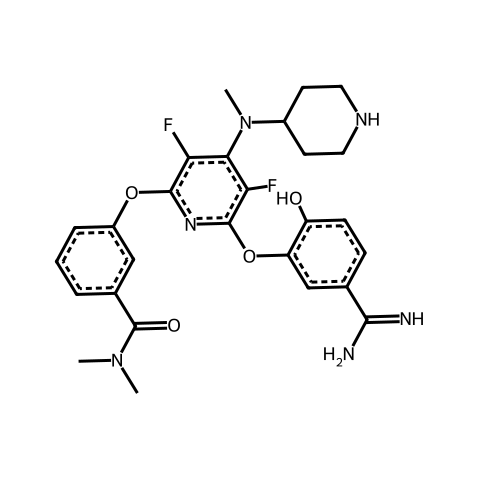 CN(C)C(=O)c1cccc(Oc2nc(Oc3cc(C(=N)N)ccc3O)c(F)c(N(C)C3CCNCC3)c2F)c1